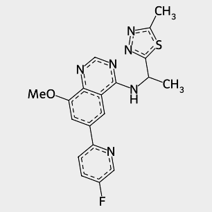 COc1cc(-c2ccc(F)cn2)cc2c(NC(C)c3nnc(C)s3)ncnc12